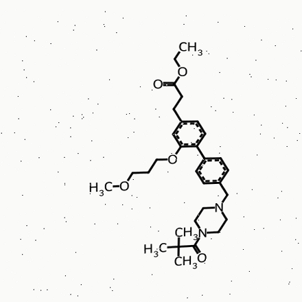 CCOC(=O)CCc1ccc(-c2ccc(CN3CCN(C(=O)C(C)(C)C)CC3)cc2)c(OCCCOC)c1